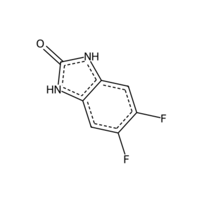 O=c1[nH]c2cc(F)c(F)cc2[nH]1